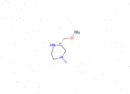 CN1CCN[C@H](COC(C)(C)C)C1